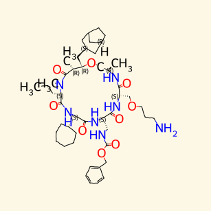 CCC[C@H]1C(=O)N[C@@H](C2CCCCCC2)C(=O)N[C@@H](CNC(=O)OCc2ccccc2)C(=O)N[C@@H](COCCCN)C(=O)N[C@H](C)CO[C@H](C[C@H]2CC3CC[C@H](C3)C2)[C@@H](C)C(=O)N1C